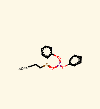 CCCCCCCCCCCCSOP(Oc1ccccc1)Oc1ccccc1